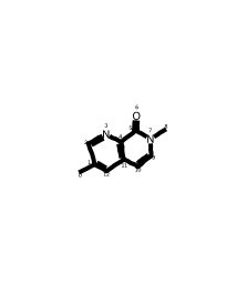 Cc1cnc2c(=O)n(C)ccc2c1